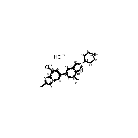 Cc1cn2cc(-c3cc(F)c4nn(C5CCNCC5)cc4c3)cc(Cl)c2n1.Cl